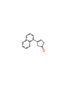 O=C1CC=C(c2cccc3ccccc23)C1